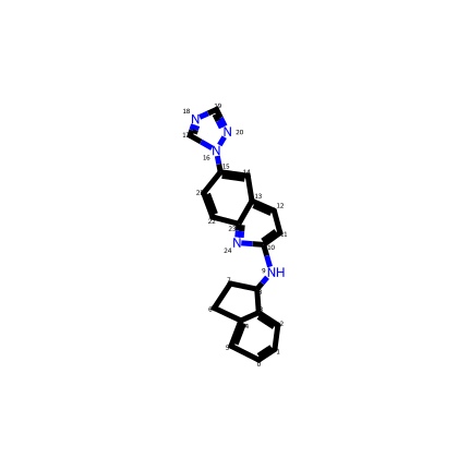 c1ccc2c(c1)CCC2Nc1ccc2cc(-n3cncn3)ccc2n1